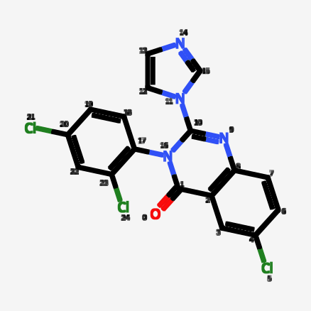 O=c1c2cc(Cl)ccc2nc(-n2ccnc2)n1-c1ccc(Cl)cc1Cl